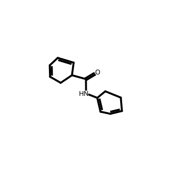 O=C(NC1=CC=CCC1)C1C=CC=CC1